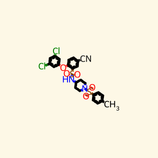 Cc1ccc(S(=O)(=O)N2CCC(NS(=O)(=O)c3cc(C#N)ccc3Oc3cc(Cl)cc(Cl)c3)CC2)cc1